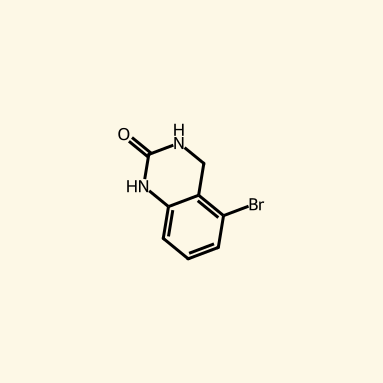 O=C1NCc2c(Br)cccc2N1